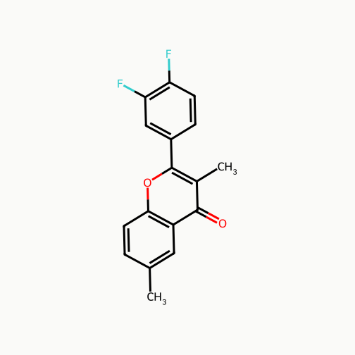 Cc1ccc2oc(-c3ccc(F)c(F)c3)c(C)c(=O)c2c1